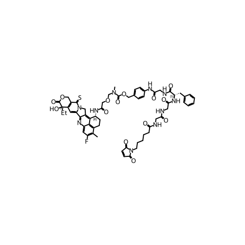 CC[C@@]1(O)C(=O)OCc2c1cc1n(c2=S)Cc2c-1nc1cc(F)c(C)c3c1c2[C@H](NC(=O)COCN(C)C(=O)OCc1ccc(NC(=O)CNC(=O)[C@H](Cc2ccccc2)NC(=O)CNC(=O)CNC(=O)CCCCCN2C(=O)C=CC2=O)cc1)CC3